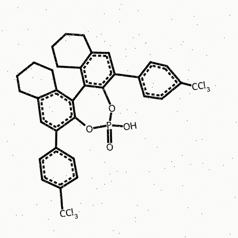 O=P1(O)Oc2c(-c3ccc(C(Cl)(Cl)Cl)cc3)cc3c(c2-c2c4c(cc(-c5ccc(C(Cl)(Cl)Cl)cc5)c2O1)CCCC4)CCCC3